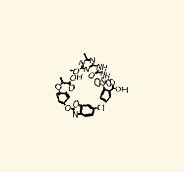 CC(Oc1ccc(Oc2nc3ccc(Cl)cc3o2)cc1)C(=O)O.COc1nc(C)nc(NC(=O)NS(=O)(=O)c2ccccc2C(=O)O)n1